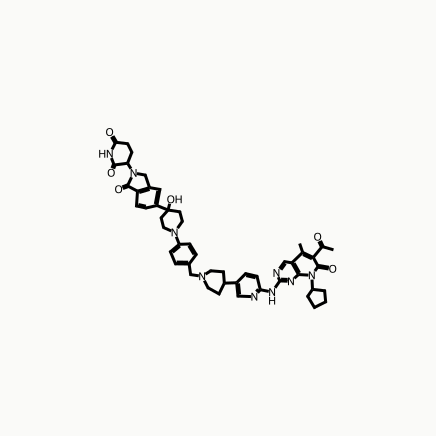 CC(=O)c1c(C)c2cnc(Nc3ccc(C4CCN(Cc5ccc(N6CCC(O)(c7ccc8c(c7)CN(C7CCC(=O)NC7=O)C8=O)CC6)cc5)CC4)cn3)nc2n(C2CCCC2)c1=O